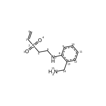 C=CS(=O)(=O)CCNc1ccccc1CN